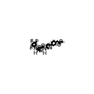 COC(=O)CC1CCC(c2ccc(NC(=O)c3nnc(Nc4cc(F)c(F)cc4F)o3)cn2)CC1